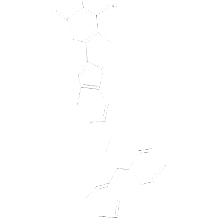 Cc1c(-c2cc3ccc(OCC(c4ccccc4)c4ccccc4)cc3o2)oc(=O)c(C)c1O